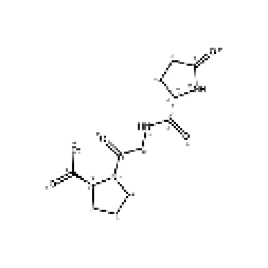 CCC(=O)[C@@H]1CCCN1C(=O)CNC(=O)[C@@H]1CCC(=O)N1